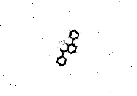 O=C(c1ccccc1)c1cccc(-c2ccccc2)c1C(=O)O